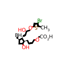 B=C[C@@H]1CC(O)[C@H](C/C=C\COCC(=O)O)[C@H]1/C=C/[C@@H](O)COc1cc(Br)c(C)s1